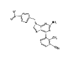 Cc1c(C#N)cccc1-c1nc(N)nc2c1ncn2Cc1ccc([N+](=O)[O-])cc1